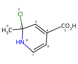 CC1(Cl)C=C(C(=O)O)C=CN1